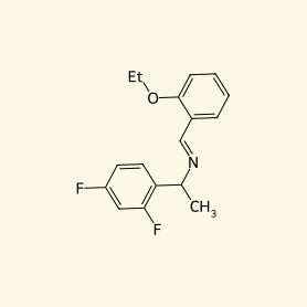 CCOc1ccccc1C=NC(C)c1ccc(F)cc1F